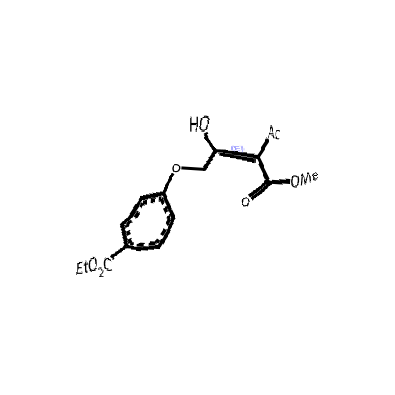 CCOC(=O)c1ccc(OC/C(O)=C(/C(C)=O)C(=O)OC)cc1